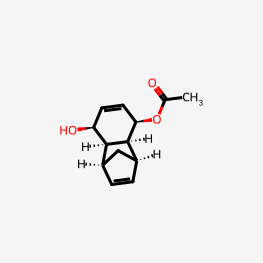 CC(=O)O[C@@H]1C=C[C@H](O)[C@H]2[C@@H]1[C@H]1C=C[C@@H]2C1